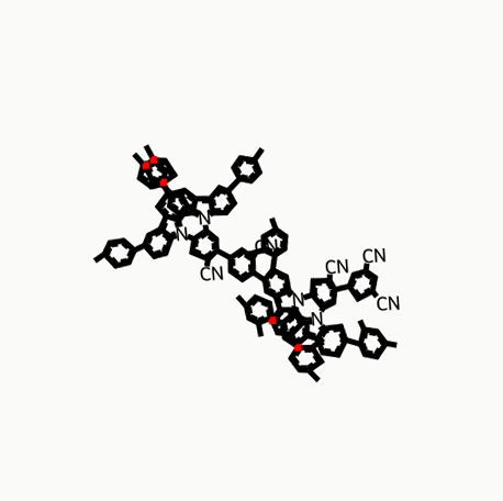 Cc1ccc(-c2ccc3c(c2)c2cc(-c4ccc(C)cc4)ccc2n3-c2cc(C#N)c(-c3ccc(-c4cc5c6ccc(-c7ccc(C)cc7C)cc6n(-c6cc(C#N)c(-c7cc(C#N)cc(C#N)c7)cc6-n6c7cc(-c8ccc(C)cc8C)ccc7c7ccc(-c8ccc(C)cc8C)cc76)c5cc4-c4ccc(C)cc4C)c(C#N)c3)cc2-n2c3ccc(-c4ccc(C)cc4)cc3c3cc(-c4ccc(C)cc4)ccc32)cc1